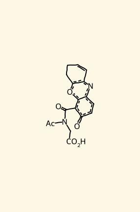 CC(=O)N(CC(=O)O)C(=O)c1c2oc3c(nc-2ccc1=O)C=CCC3